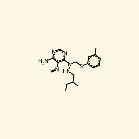 C=Nc1c(N)ncnc1N(CSc1cccc(C)c1)NCC(C)CC